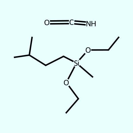 CCO[Si](C)(CCC(C)C)OCC.N=C=O